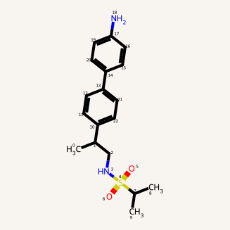 CC(CNS(=O)(=O)C(C)C)c1ccc(-c2ccc(N)cc2)cc1